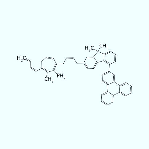 C=C/C=C\C1=C(C)C(P)=C(C/C=C\Cc2ccc3c(c2)C(C)(C)c2cccc(-c4ccc5c6ccccc6c6ccccc6c5c4)c2-3)C=CC1